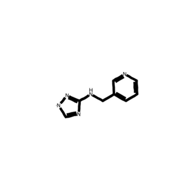 C1=NC(NCc2cccnc2)=N[N]1